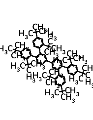 CC(C)(C)c1ccc(-c2ccc(-c3ccc(-c4ccc(C(C)(C)C)cc4C(C)(C)C)c(-c4ccc(C(C)(C)C)cc4C(C)(C)C)c3)cc2-c2ccc(C(C)(C)C)cc2C(C)(C)C)c(C(C)(C)C)c1